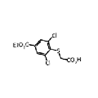 CCOC(=O)c1cc(Cl)c(SCC(=O)O)c(Cl)c1